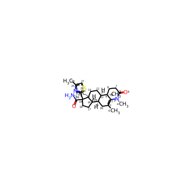 CC1=C2N(C)C(=O)CC[C@]2(C)[C@@H]2CC[C@@]3(C)[C@@H](CCC3(C(N)=O)c3nc(C)cs3)[C@@H]2C1